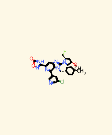 CO[C@@H]1C[C@H](CF)N(c2nc3cc(-c4noc(=O)[nH]4)nc(-c4cncc(Cl)c4)c3n2C[C@H]2CC[C@H](C)CC2)C1